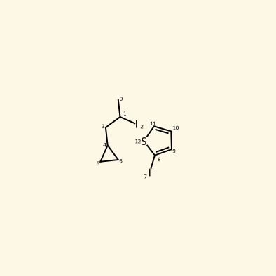 CC(I)CC1CC1.Ic1cccs1